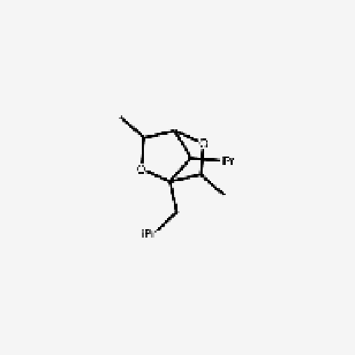 CC(C)CC12OC(C)C(OC1C)C2C(C)C